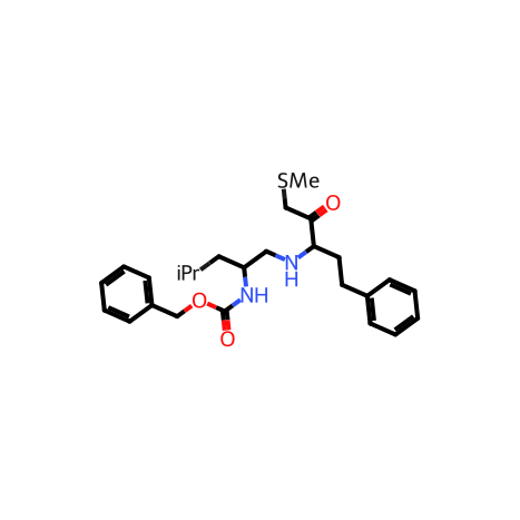 CSCC(=O)C(CCc1ccccc1)NCC(CC(C)C)NC(=O)OCc1ccccc1